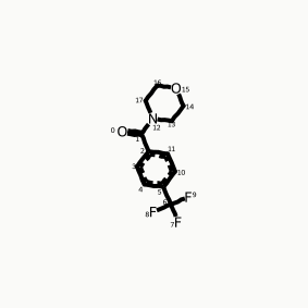 O=C(c1ccc(C(F)(F)F)cc1)N1CCOCC1